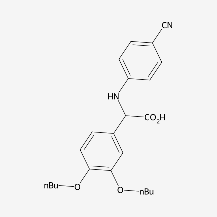 CCCCOc1ccc(C(Nc2ccc(C#N)cc2)C(=O)O)cc1OCCCC